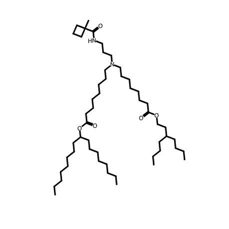 CCCCCCCCC(CCCCCCCC)OC(=O)CCCCCCCN(CCCCCCCC(=O)OCCC(CCCC)CCCC)CCCNC(=O)C1(C)CCC1